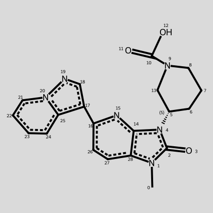 Cn1c(=O)n([C@H]2CCCN(C(=O)O)C2)c2nc(-c3cnn4ccccc34)ccc21